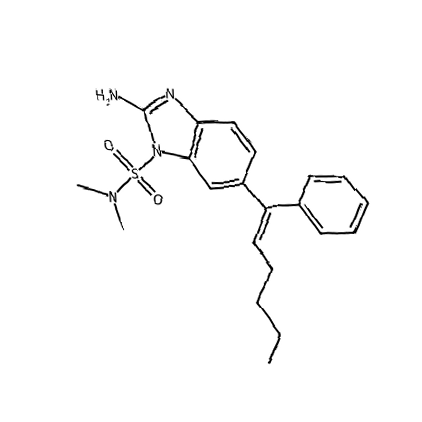 CCCCC=C(c1ccccc1)c1ccc2nc(N)n(S(=O)(=O)N(C)C)c2c1